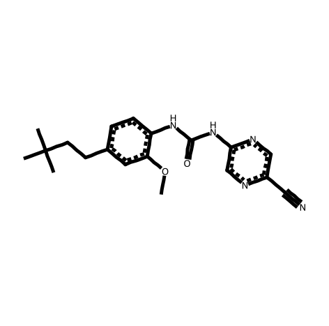 COc1cc(CCC(C)(C)C)ccc1NC(=O)Nc1cnc(C#N)cn1